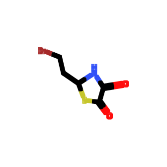 O=C1NC(CCBr)SC1=O